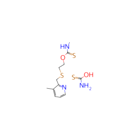 CNC(=S)OCCSCc1ncccc1C.NC(O)=S